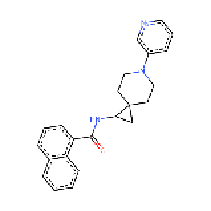 O=C(NC1CC12CCN(c1cccnc1)CC2)c1cccc2ccccc12